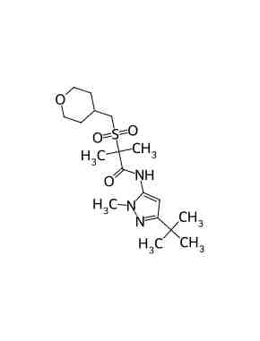 Cn1nc(C(C)(C)C)cc1NC(=O)C(C)(C)S(=O)(=O)CC1CCOCC1